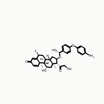 C[C@]12C[C@H](O)[C@@]3(F)[C@@H](C[C@H](F)C4=CC(=O)C=C[C@@]43C)[C@@H]1C[C@@H](O[C@H](O)c1ccc(Oc3ccc(N)cc3)cc1)[C@@H]2C(=O)CO